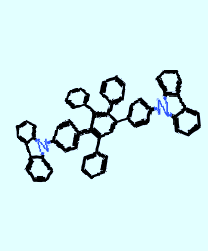 c1ccc(-c2cc(-c3ccc(-n4c5ccccc5c5ccccc54)cc3)c(-c3ccccc3)c(-c3ccccc3)c2-c2ccc(-n3c4ccccc4c4ccccc43)cc2)cc1